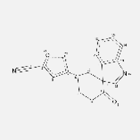 N#Cc1cc(C2CCC(=O)C3(C=Nc4ccccc43)C2)co1